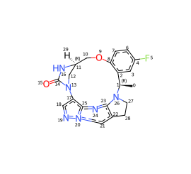 C[C@@H]1c2cc(F)ccc2OC[C@H]2CN(C(=O)N2)c2cnn3cc4c(nc23)N1CC4